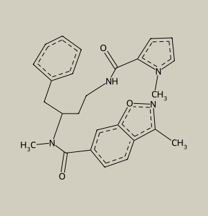 Cc1noc2cc(C(=O)N(C)C(CCNC(=O)c3cccn3C)Cc3ccccc3)ccc12